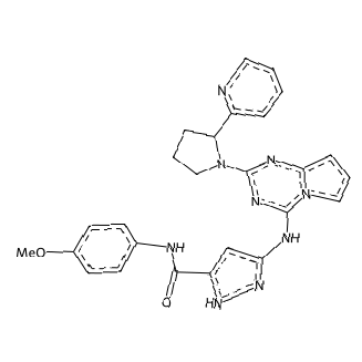 COc1ccc(NC(=O)c2cc(Nc3nc(N4CCCC4c4ccccn4)nc4cccn34)n[nH]2)cc1